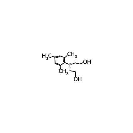 Cc1cc(C)c(P(CCO)CCO)c(C)c1